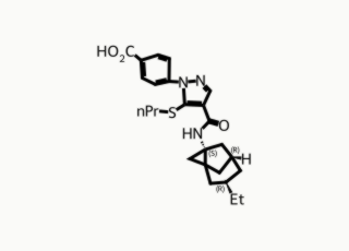 CCCSc1c(C(=O)N[C@]23C[C@@H]4C[C@@H](CC)CC2(C4)C3)cnn1-c1ccc(C(=O)O)cc1